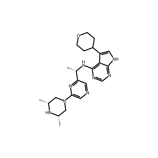 C[C@@H]1CN(c2cncc([C@H](C)Nc3ncnc4[nH]cc(C5CCOCC5)c34)n2)C[C@H](C)N1